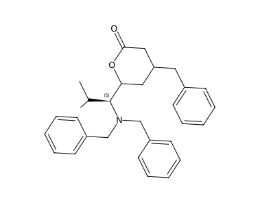 CC(C)[C@@H](C1CC(Cc2ccccc2)CC(=O)O1)N(Cc1ccccc1)Cc1ccccc1